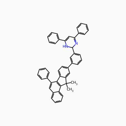 CC1(C)c2cc(-c3cccc(C4N=C(c5ccccc5)C=C(c5ccccc5)N4)c3)ccc2-c2c(-c3ccccc3)cc3ccccc3c21